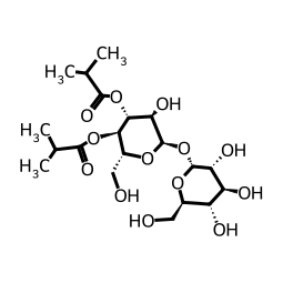 CC(C)C(=O)O[C@@H]1[C@@H](O)[C@@H](O[C@H]2O[C@H](CO)[C@@H](O)[C@H](O)[C@H]2O)O[C@H](CO)[C@H]1OC(=O)C(C)C